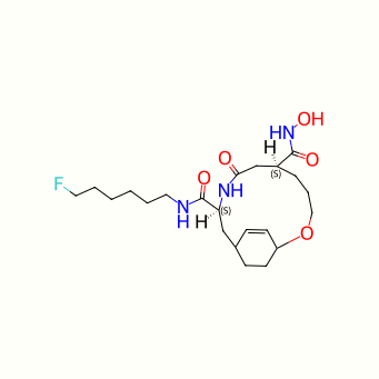 O=C1C[C@@H](C(=O)NO)CCCOC2C=CC(CC2)C[C@@H](C(=O)NCCCCCCF)N1